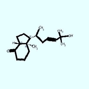 CC(CC#CC(C)(C)O)[C@H]1CC[C@H]2C(=O)CCC[C@]12C